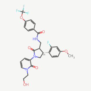 COc1ccc([C@@H]2CN(c3cccn(CCO)c3=O)C(=O)C2CNC(=O)c2ccc(OC(F)(F)F)cc2)c(F)c1